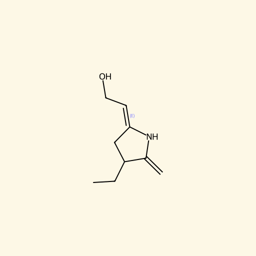 C=C1N/C(=C/CO)CC1CC